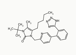 CCCCCc1c(C)n(C(C)(C)C)c(=O)n1Cc1ccc(-c2ccccc2-c2nnn[nH]2)cn1